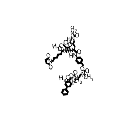 CC(C)[C@H](NC(=O)CCCCCN1C(=O)C=CC1=O)C(=O)N[C@@H](CCCNC(N)=O)C(=O)Nc1ccc(COC(=O)N(C)CCN(C)C(=O)OC(C)(C)c2ccc(-c3ccccc3)cc2)cc1